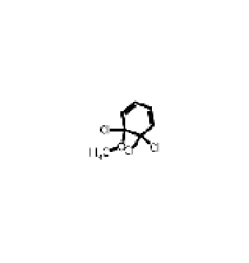 COC1(Cl)C=CC=CC1(Cl)Cl